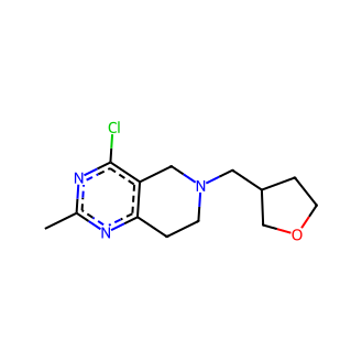 Cc1nc(Cl)c2c(n1)CCN(CC1CCOC1)C2